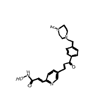 CC(=O)N1CCN(Cc2ccc(C(=O)C=Cc3ccc(C=CC(=O)NO)nc3)cc2)CC1